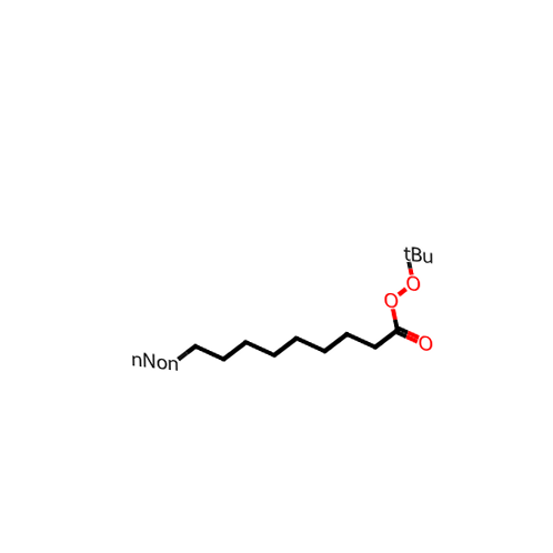 CCCCCCCCCCCCCCCCCC(=O)OOC(C)(C)C